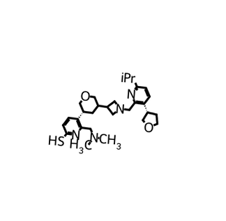 CC(C)c1ccc([C@@H]2CCOC2)c(CN2CC(C3COC[C@@H](c4ccc(S)nc4CN(C)C)C3)C2)n1